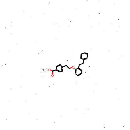 COC(=O)c1ccc(CCOc2ccccc2CCc2ccccc2)cc1